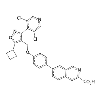 O=C(O)c1cc2ccc(-c3ccc(OCc4c(-c5c(Cl)cncc5Cl)noc4C4CCC4)cc3)cc2cn1